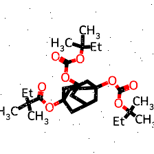 CCC(C)(C)OC(=O)OC12CC3CC(OC(=O)OC(C)(C)CC)(C1)CC(OC(=O)C(C)(C)CC)(C3)C2